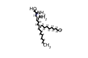 CCCCCCCCN(CCCCCCCC=O)CCCN(N)/C=C(\N)CO